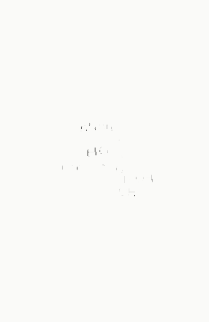 CCCCCCCCCCCCOP(O)O.CCCCCCCCCc1ccccc1O